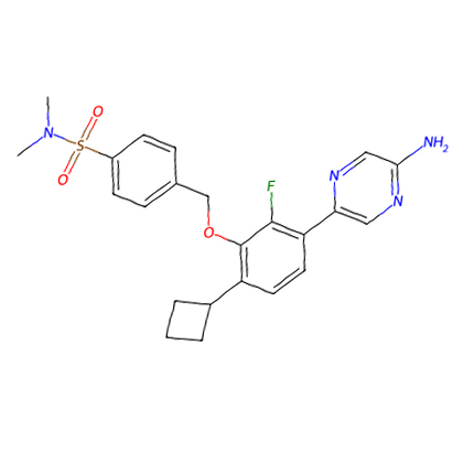 CN(C)S(=O)(=O)c1ccc(COc2c(C3CCC3)ccc(-c3cnc(N)cn3)c2F)cc1